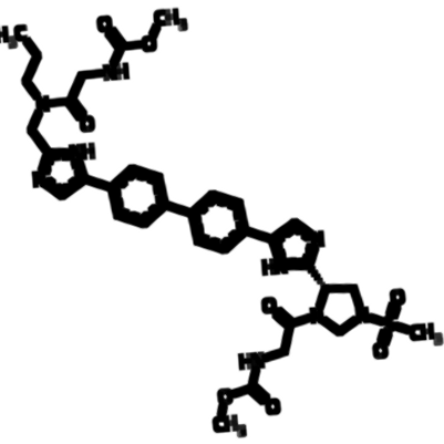 CCCN(Cc1ncc(-c2ccc(-c3ccc(-c4cnc([C@@H]5CN(S(C)(=O)=O)CN5C(=O)CNC(=O)OC)[nH]4)cc3)cc2)[nH]1)C(=O)CNC(=O)OC